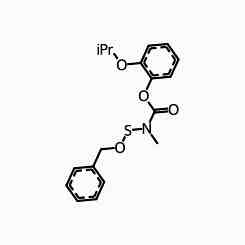 CC(C)Oc1ccccc1OC(=O)N(C)SOCc1ccccc1